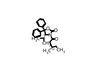 CC[C@H](C)CC(=O)N1C(=O)OC(c2ccccc2)(c2ccccc2)[C@H]1C(C)C